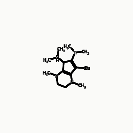 CN1CCN(C)C2=C1C(C(C)(C)C)=[C]([Ti]([CH3])[CH3])C2[SiH](C)C